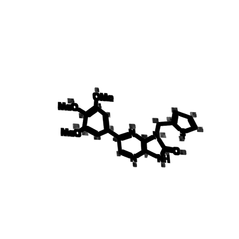 COc1cc(-c2cnc3[nH]c(=O)n(Cc4cccs4)c3n2)cc(OC)c1OC